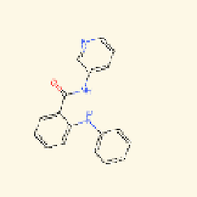 O=C(Nc1cccnc1)c1ccccc1Nc1ccccc1